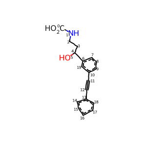 O=C(O)NCCC(O)c1cccc(C#Cc2ccccc2)c1